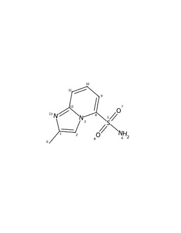 Cc1cn2c(S(N)(=O)=O)cccc2n1